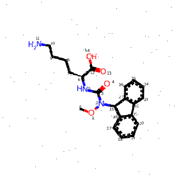 CON(C(=O)N[C@@H](CCCCN)C(=O)O)C1c2ccccc2-c2ccccc21